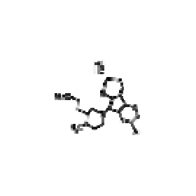 COCCC1CN(c2c3nccccc-3c3c2N=C(C(C)=O)SS3)CCN1C.Cl.Cl